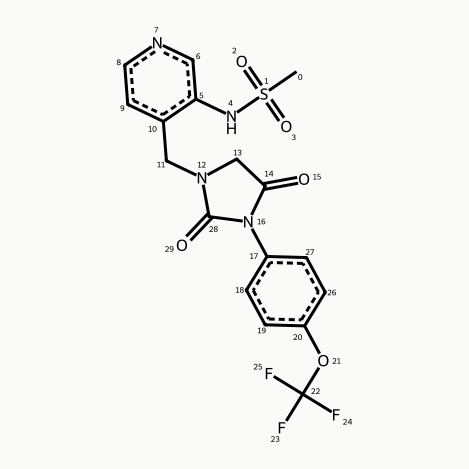 CS(=O)(=O)Nc1cnccc1CN1CC(=O)N(c2ccc(OC(F)(F)F)cc2)C1=O